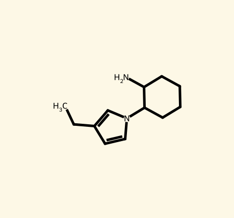 CCc1ccn(C2CCCCC2N)c1